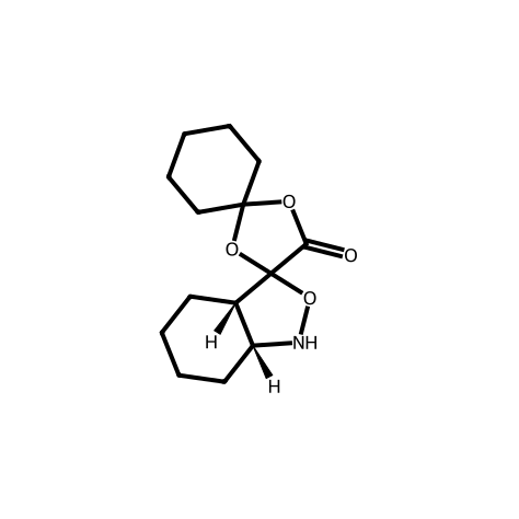 O=C1OC2(CCCCC2)OC12ON[C@@H]1CCCC[C@@H]12